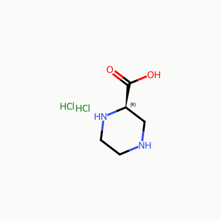 Cl.Cl.O=C(O)[C@H]1CNCCN1